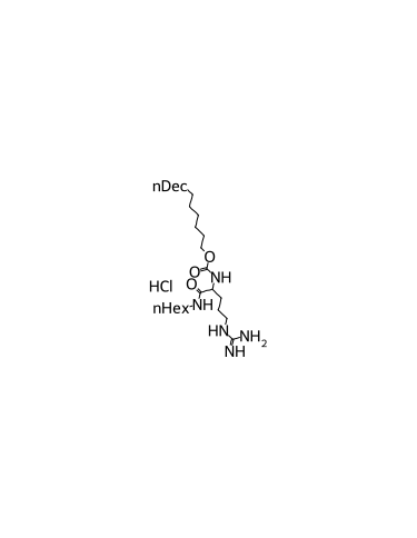 CCCCCCCCCCCCCCCCOC(=O)NC(CCCNC(=N)N)C(=O)NCCCCCC.Cl